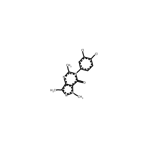 Cc1nn(C)c2c(=O)n(-c3ccc(Cl)c(Cl)c3)c(C)nc12